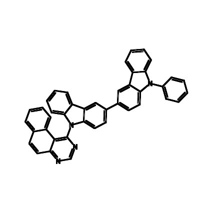 c1ccc(-n2c3ccccc3c3cc(-c4ccc5c(c4)c4ccccc4n5-c4ncnc5ccc6ccccc6c45)ccc32)cc1